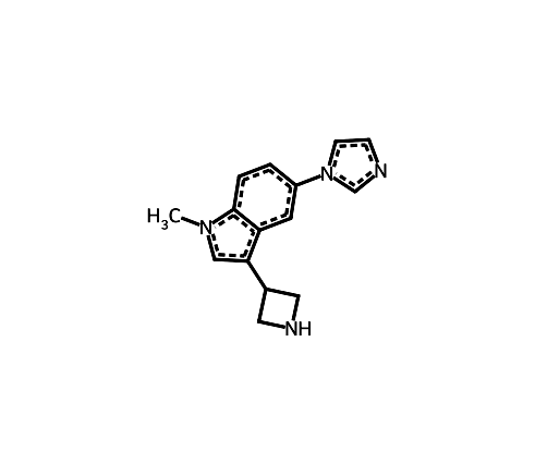 Cn1cc(C2CNC2)c2cc(-n3ccnc3)ccc21